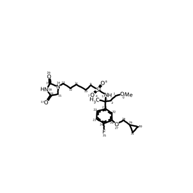 COCCC(C)(NS(=O)(=O)CCCCCN1CC(=O)NC1=O)c1ccc(F)c(OCC2CC2)c1